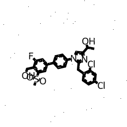 CC(O)c1cn(-c2ccc(-c3cc(F)c(CO)c(S(C)(=O)=O)c3)cc2)c(Cc2ccc(Cl)cc2Cl)n1